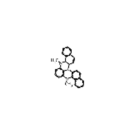 CN1c2cccc3c2B(c2ccc4ccccc4c21)C1C=Cc2ccccc2C1N3C